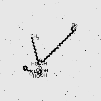 CCCCCCCCCCCCCCC[C@@H](O)[C@H](CO[C@H]1O[C@H](COC(=O)CCc2ccccc2)[C@H](O)[C@H](O)[C@H]1O)NC(=O)CCCCCCCCCCCCCCCCCCCCCCCC1CCS(=O)(=O)CC1